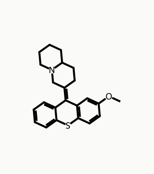 COc1ccc2c(c1)C(=C1CCC3CCCCN3C1)c1ccccc1S2